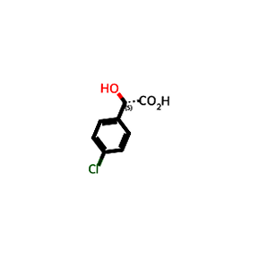 O=C(O)[C@@H](O)c1ccc(Cl)cc1